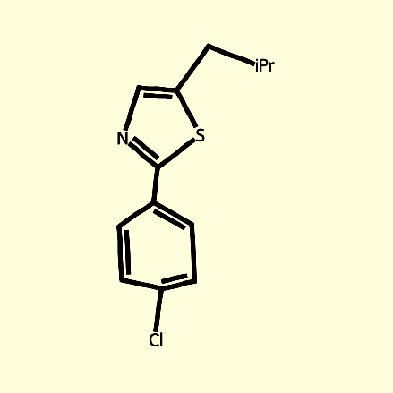 CC(C)Cc1cnc(-c2ccc(Cl)cc2)s1